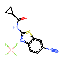 F[B-](F)(F)F.N#[N+]c1ccc2nc(NC(=O)C3CC3)sc2c1